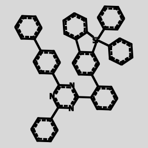 c1ccc(-c2ccc(-c3nc(-c4ccccc4)nc(-c4ccccc4-c4ccc5c(c4)[Si](c4ccccc4)(c4ccccc4)c4ccccc4-5)n3)cc2)cc1